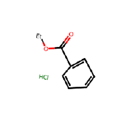 CCOC(=O)c1ccccc1.Cl